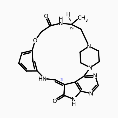 C[C@H]1CN2CCN(CC2)c2ncnc3c2/C(=C/Nc2cccc(c2)OCC(=O)N1)C(=O)N3